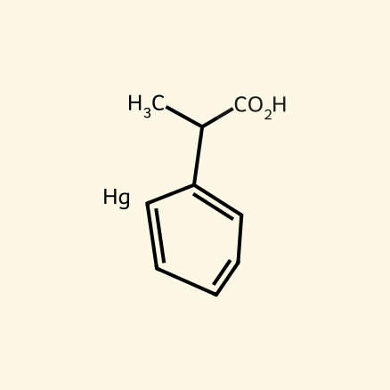 CC(C(=O)O)c1ccccc1.[Hg]